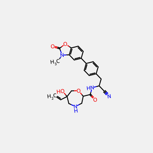 C=CC1(O)CNCC(C(=O)NC(C#N)Cc2ccc(-c3ccc4oc(=O)n(C)c4c3)cc2)OC1